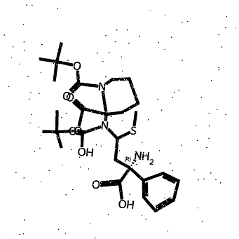 CSC(C[C@](N)(C(=O)O)c1ccccc1)N(C(=O)O)C1(C(=O)OC(C)(C)C)CCCCN1C(=O)OC(C)(C)C